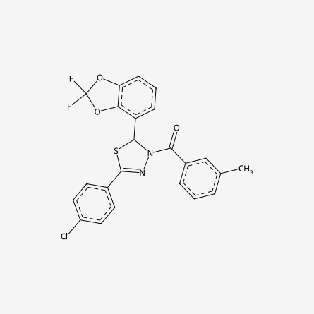 Cc1cccc(C(=O)N2N=C(c3ccc(Cl)cc3)SC2c2cccc3c2OC(F)(F)O3)c1